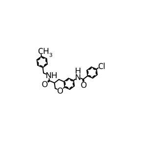 Cc1ccc(CNC(=O)C2COc3ccc(NC(=O)c4ccc(Cl)cc4)cc3C2)cc1